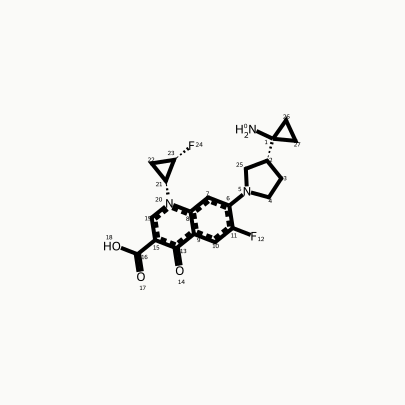 NC1([C@@H]2CCN(c3cc4c(cc3F)c(=O)c(C(=O)O)cn4[C@@H]3C[C@@H]3F)C2)CC1